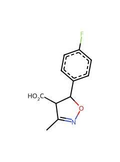 CC1=NOC(c2ccc(F)cc2)C1C(=O)O